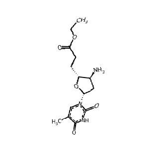 CCOC(=O)CC[C@H]1O[C@@H](n2cc(C)c(=O)[nH]c2=O)C[C@@H]1N